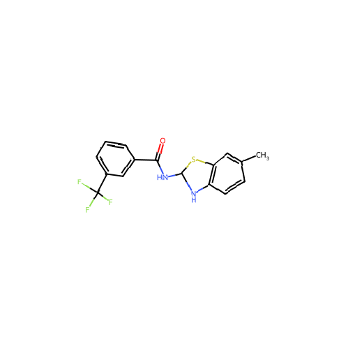 Cc1ccc2c(c1)SC(NC(=O)c1cccc(C(F)(F)F)c1)N2